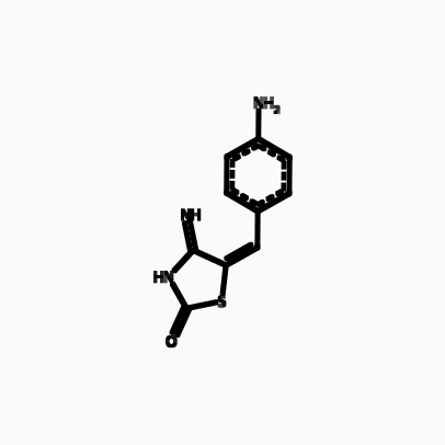 N=C1NC(=O)SC1=Cc1ccc(N)cc1